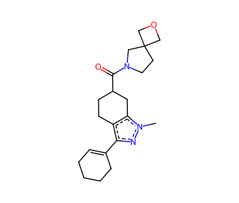 Cn1nc(C2=CCCCC2)c2c1CC(C(=O)N1CCC3(COC3)C1)CC2